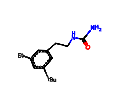 CCc1cc(CCNC(N)=O)cc(C(C)(C)C)c1